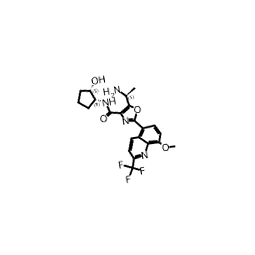 COc1ccc(-c2nc(C(=O)N[C@@H]3CCC[C@@H]3O)c([C@H](C)N)o2)c2ccc(C(F)(F)F)nc12